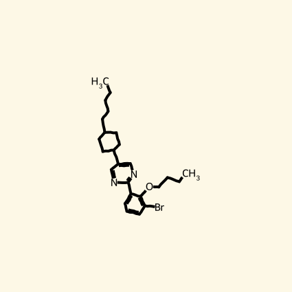 CCCCCC1CCC(c2cnc(-c3cccc(Br)c3OCCCC)nc2)CC1